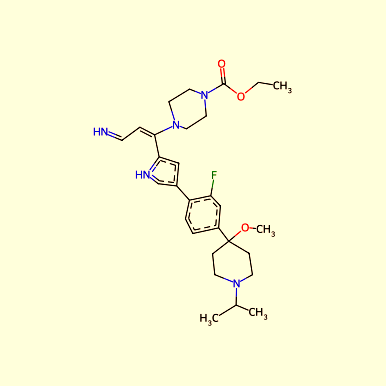 CCOC(=O)N1CCN(/C(=C/C=N)c2cc(-c3ccc(C4(OC)CCN(C(C)C)CC4)cc3F)c[nH]2)CC1